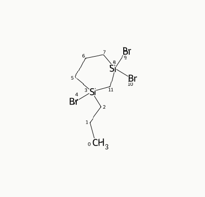 CCC[Si]1(Br)CCC[Si](Br)(Br)C1